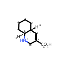 O=C(O)C1=C[C@H]2CCCC[C@@H]2NC1